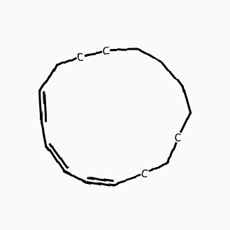 C1=CC=CCCCCCCCCCCC=C1